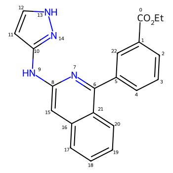 CCOC(=O)c1cccc(-c2nc(Nc3cc[nH]n3)cc3ccccc23)c1